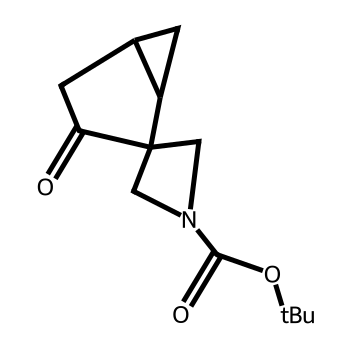 CC(C)(C)OC(=O)N1CC2(C1)C(=O)CC1CC12